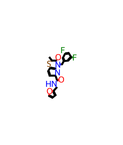 CC1Sc2ccc(C(=O)NCc3ccco3)nc2N(Cc2cc(F)cc(F)c2)C1=O